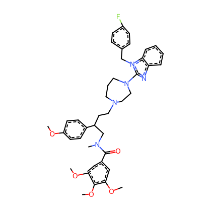 COc1ccc(C(CCN2CCCN(c3nc4ccccc4n3Cc3ccc(F)cc3)CC2)CN(C)C(=O)c2cc(OC)c(OC)c(OC)c2)cc1